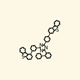 c1ccc(-c2ccccc2-c2nc(-c3ccc(-c4ccc5c(c4)sc4ccccc45)cc3)nc(-c3cccc(-c4cccc5sc6ccccc6c45)c3)n2)cc1